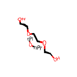 CCCOCCC.OCCOCCOCCO